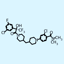 CN(C)C(=O)c1ccc(N2CCC(CC3CCN(C(=O)[C@](O)(c4cc(F)cc(Cl)c4)C(F)(F)F)CC3)CC2)cc1Cl